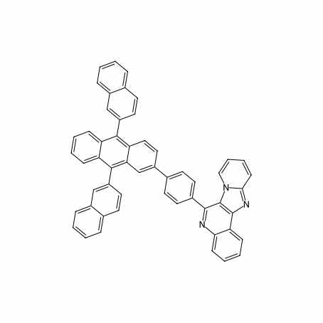 c1ccc2cc(-c3c4ccccc4c(-c4ccc5ccccc5c4)c4cc(-c5ccc(-c6nc7ccccc7c7nc8ccccn8c67)cc5)ccc34)ccc2c1